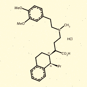 COc1ccc(CCN(C)CCC(C(=O)O)[C@@H]2CCc3ccccc3[C@@H]2C(C)C)cc1OC.Cl